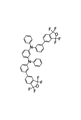 FC1(F)OC(F)(F)c2cc(-c3cccc(N(c4ccccc4)c4cccc(N(c5ccccc5)c5cccc(-c6ccc7c(c6)C(F)(F)OC7(F)F)c5)c4)c3)ccc21